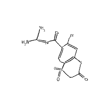 CCc1cc2c(cc1C(=O)N=C(N)N)S(=O)(=O)CC(=O)S2